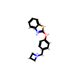 c1ccc2sc(Oc3ccc(CN4CCC4)cc3)nc2c1